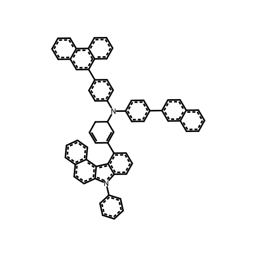 C1=CC(c2cccc3c2c2c4ccccc4ccc2n3-c2ccccc2)=CC(N(c2ccc(-c3ccc4ccccc4c3)cc2)c2ccc(-c3cc4ccccc4c4ccccc34)cc2)C1